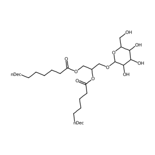 CCCCCCCCCCCCCCCC(=O)OCC(COC1OC(CO)C(O)C(O)C1O)OC(=O)CCCCCCCCCCCCCC